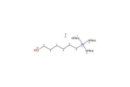 CCCCCC[N+](CCCCCC)(CCCCCC)CCCCCCO.[I-]